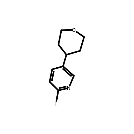 Ic1ccc(C2CCOCC2)cn1